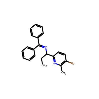 CC(=O)OCC(N=C(c1ccccc1)c1ccccc1)c1ccc(Br)c(C)n1